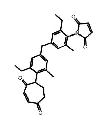 CCc1cc(Cc2cc(C)c(N3C(=O)C=CC3=O)c(CC)c2)cc(C)c1C1CCC(=O)C=CC1=O